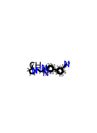 CC1CCCN1CCc1nc2cc(-c3cccc(C#N)c3)ccc2[nH]1